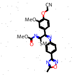 COC(=O)/N=C(SC)/C(=N\c1ccc(-c2noc(C)n2)cc1)c1ccc(OCC#N)c(OC)c1